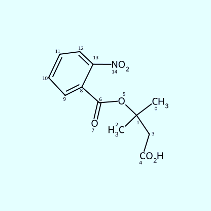 CC(C)(CC(=O)O)OC(=O)c1ccccc1[N+](=O)[O-]